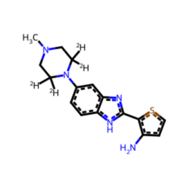 [2H]C1([2H])CN(C)CC([2H])([2H])N1c1ccc2[nH]c(-c3sccc3N)nc2c1